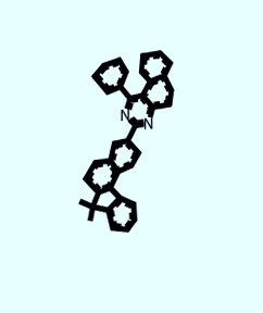 CC1(C)c2ccccc2-c2c1ccc1cc(-c3nc(-c4ccccc4)c4c(ccc5ccccc54)n3)ccc21